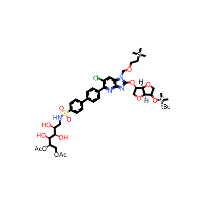 CC(=O)OC[C@@H](OC(C)=O)[C@@H](O)[C@H](O)[C@@H](O)CNS(=O)(=O)c1ccc(-c2ccc(-c3nc4nc(O[C@@H]5CO[C@@H]6C(O[Si](C)(C)C(C)(C)C)CO[C@@H]65)n(COCC[Si](C)(C)C)c4cc3Cl)cc2)cc1